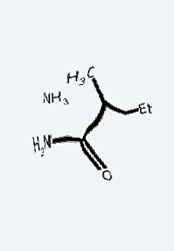 CC[C](C)C(N)=O.N